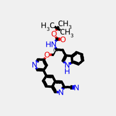 CC(C)(C)OC(=O)N[C@H](COc1cncc(-c2ccc3cnc(C#N)cc3c2)c1)Cc1c[nH]c2ccccc12